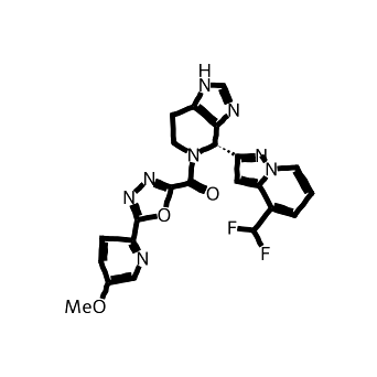 COc1ccc(-c2nnc(C(=O)N3CCc4[nH]cnc4[C@@H]3c3cc4c(C(F)F)cccn4n3)o2)nc1